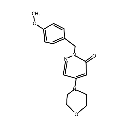 COc1ccc(Cn2ncc(N3CCOCC3)cc2=O)cc1